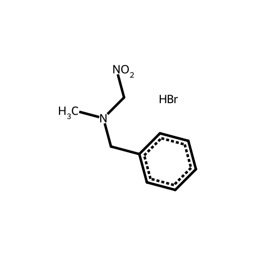 Br.CN(Cc1ccccc1)C[N+](=O)[O-]